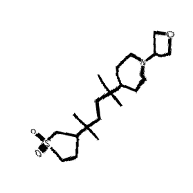 CC(C)(CCC(C)(C)C1CCS(=O)(=O)C1)C1CCN(C2COC2)CC1